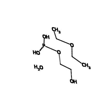 CCOCC.O.OCCOP(O)O